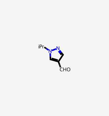 CC(C)n1cc(C=O)cn1